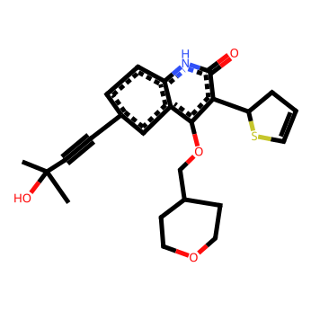 CC(C)(O)C#Cc1ccc2[nH]c(=O)c(C3CC=CS3)c(OCC3CCOCC3)c2c1